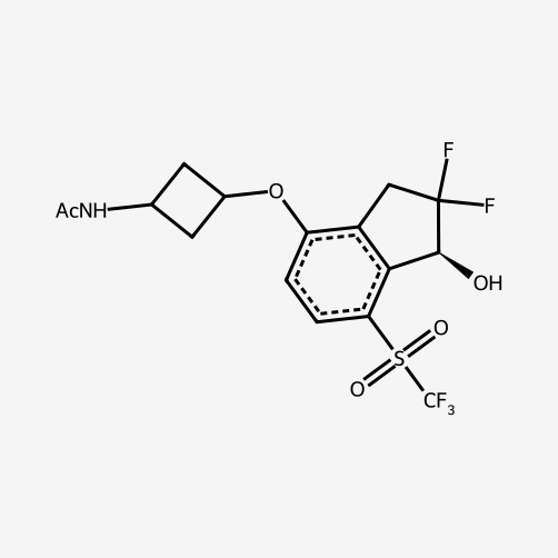 CC(=O)NC1CC(Oc2ccc(S(=O)(=O)C(F)(F)F)c3c2CC(F)(F)[C@H]3O)C1